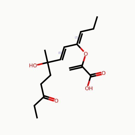 C=C(OC(=C\CC)/C=C/C(C)(O)CCC(=O)CC)C(=O)O